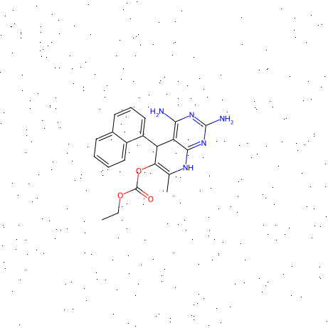 CCOC(=O)OC1=C(C)Nc2nc(N)nc(N)c2C1c1cccc2ccccc12